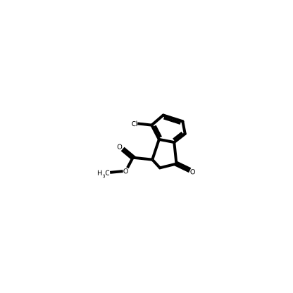 COC(=O)C1CC(=O)c2cccc(Cl)c21